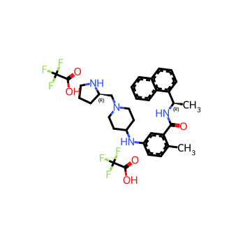 Cc1ccc(NC2CCN(C[C@H]3CCCN3)CC2)cc1C(=O)N[C@H](C)c1cccc2ccccc12.O=C(O)C(F)(F)F.O=C(O)C(F)(F)F